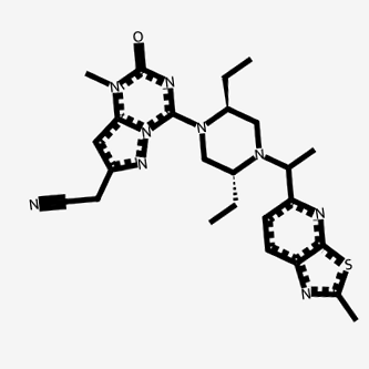 CC[C@H]1CN(C(C)c2ccc3nc(C)sc3n2)[C@H](CC)CN1c1nc(=O)n(C)c2cc(CC#N)nn12